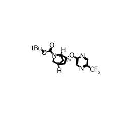 CC(C)(C)OC(=O)N1C[C@H]2C[C@@H](Oc3cnc(C(F)(F)F)cn3)[C@@H]1C2